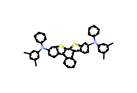 Cc1cc(C)cc(N(c2ccccc2)c2ccc3c(c2)sc2c4sc5cc(N(c6ccccc6)c6cc(C)cc(C)c6)ccc5c4c4ccccc4c32)c1